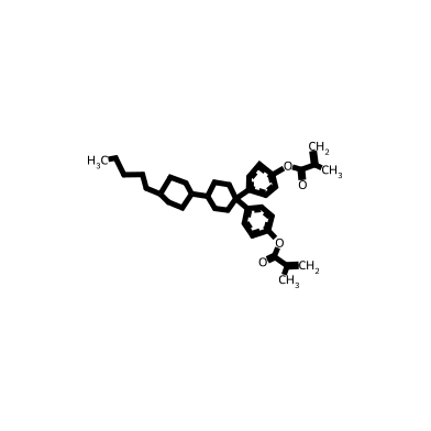 C=C(C)C(=O)Oc1ccc(C2(c3ccc(OC(=O)C(=C)C)cc3)CCC(C3CCC(CCCCC)CC3)CC2)cc1